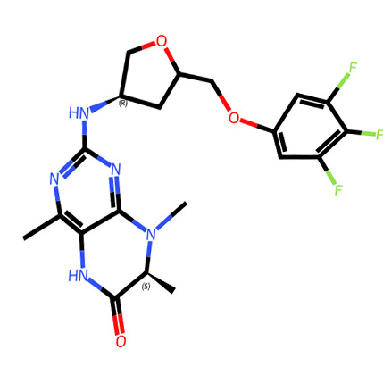 Cc1nc(N[C@H]2COC(COc3cc(F)c(F)c(F)c3)C2)nc2c1NC(=O)[C@H](C)N2C